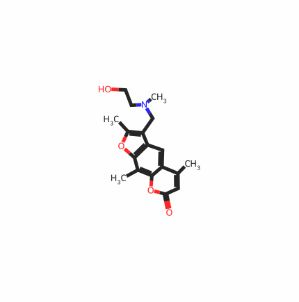 Cc1oc2c(C)c3oc(=O)cc(C)c3cc2c1CN(C)CCO